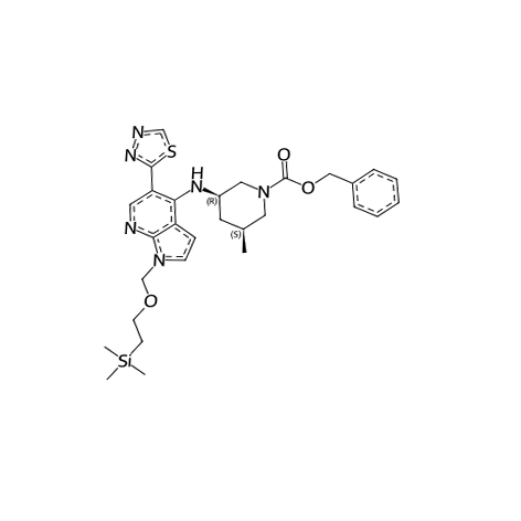 C[C@H]1C[C@@H](Nc2c(-c3nncs3)cnc3c2ccn3COCC[Si](C)(C)C)CN(C(=O)OCc2ccccc2)C1